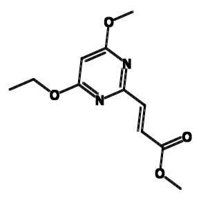 CCOc1cc(OC)nc(C=CC(=O)OC)n1